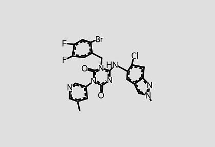 Cc1cncc(-n2c(=O)nc(Nc3cc4cn(C)nc4cc3Cl)n(Cc3cc(F)c(F)cc3Br)c2=O)c1